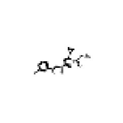 CC(CNc1cc(C2CC2)n(C(=O)OC(C)(C)C)n1)c1cccc(Br)c1